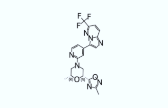 Cc1noc([C@H]2CN(c3cc(-c4cnc5ccc(C(F)(F)F)nn45)ccn3)C[C@@H](C)O2)n1